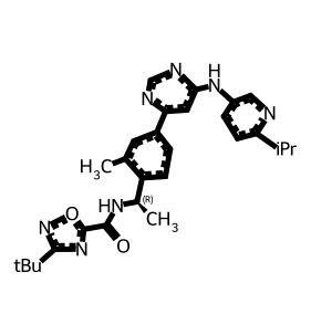 Cc1cc(-c2cc(Nc3ccc(C(C)C)nc3)ncn2)ccc1[C@@H](C)NC(=O)c1nc(C(C)(C)C)no1